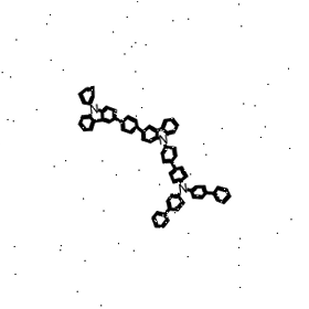 c1ccc(-c2ccc(N(c3ccc(-c4ccccc4)cc3)c3ccc(-c4ccc(-n5c6ccccc6c6cc(-c7ccc(-c8ccc9c(c8)c8ccccc8n9-c8ccccc8)cc7)ccc65)cc4)cc3)cc2)cc1